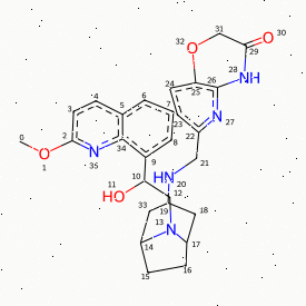 COc1ccc2cccc(C(O)CN3C4CCC3CC(NCc3ccc5c(n3)NC(=O)CO5)C4)c2n1